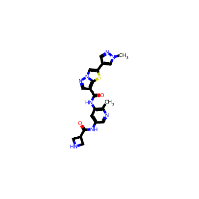 Cc1ncc(NC(=O)C2CNC2)cc1NC(=O)c1cnn2cc(-c3cnn(C)c3)sc12